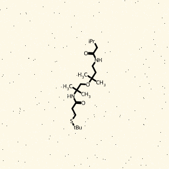 CC(C)CC(=O)NCCC(C)(C)OCC(C)(C)NC(=O)CCSC(C)(C)C